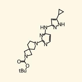 CC(C)(C)OC(=O)N1CC2(CCN(c3nccc(Nc4cc(C5CC5)[nH]n4)n3)C2)C1